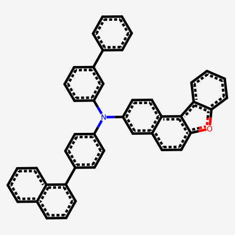 c1ccc(-c2cccc(N(c3ccc(-c4cccc5ccccc45)cc3)c3ccc4c(ccc5oc6ccccc6c54)c3)c2)cc1